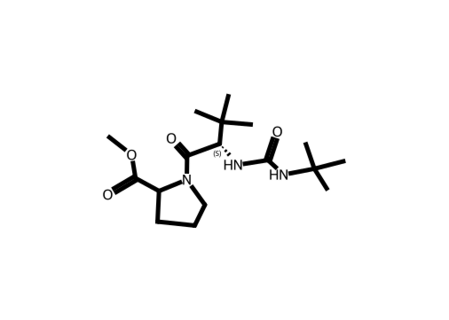 COC(=O)C1CCCN1C(=O)[C@@H](NC(=O)NC(C)(C)C)C(C)(C)C